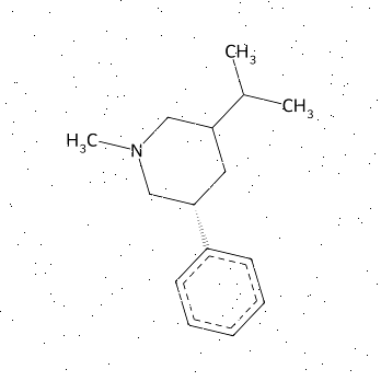 CC(C)C1C[C@H](c2ccccc2)CN(C)C1